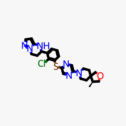 C[C@@H]1COCC12CCN(c1cnc(Sc3cccc(C4CCn5nccc5N4)c3Cl)cn1)CC2